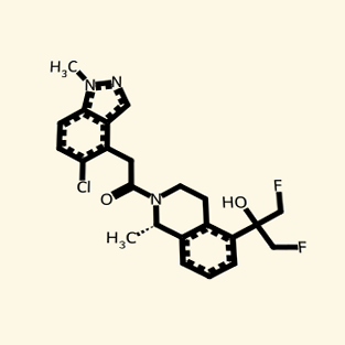 C[C@H]1c2cccc(C(O)(CF)CF)c2CCN1C(=O)Cc1c(Cl)ccc2c1cnn2C